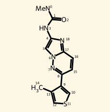 CNC(=O)Nc1cn2nc(-c3cscc3C)ccc2n1